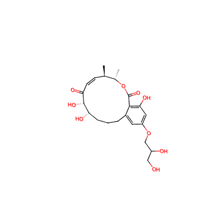 C[C@@H]1/C=C\C(=O)[C@@H](O)[C@@H](O)CCCc2cc(OCC(O)CO)cc(O)c2C(=O)O[C@H]1C